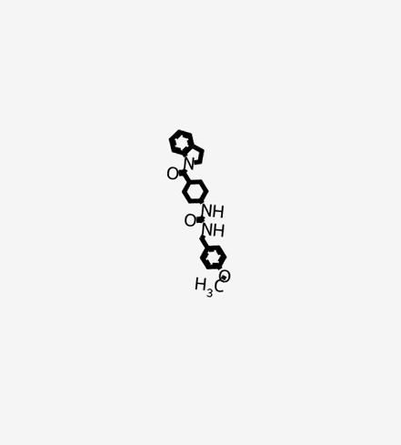 COc1ccc(CNC(=O)NC2CCC(C(=O)N3CCc4ccccc43)CC2)cc1